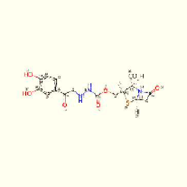 C[C@@]1(COC(=O)NNCC(=O)c2ccc(O)c(O)c2)S[C@@H]2CC(=O)N2[C@H]1C(=O)O